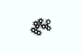 C1=CCC(n2c3ccccc3c3ccc(N(c4ccc5c(c4)-c4c6ccccc6cc6cccc-5c46)c4ccccc4-c4ccccc4)cc32)C=C1